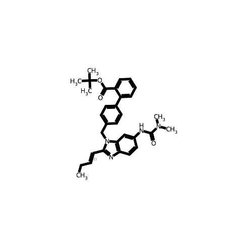 CC/C=C/c1nc2ccc(NC(=O)N(C)C)cc2n1Cc1ccc(-c2ccccc2C(=O)OC(C)(C)C)cc1